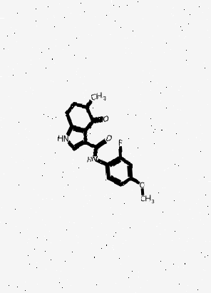 COc1ccc(NC(=O)c2c[nH]c3c2C(=O)C(C)CC3)c(F)c1